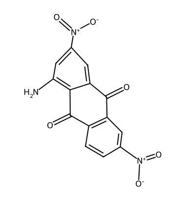 Nc1cc([N+](=O)[O-])cc2c1C(=O)c1ccc([N+](=O)[O-])cc1C2=O